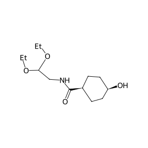 CCOC(CNC(=O)[C@H]1CC[C@@H](O)CC1)OCC